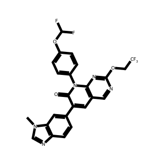 Cn1cnc2ccc(-c3cc4cnc(OCC(F)(F)F)nc4n(-c4ccc(OC(F)F)cc4)c3=O)cc21